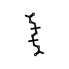 CC(=O)OCC(C)(C)N=NC(C)(C)COC(C)=O